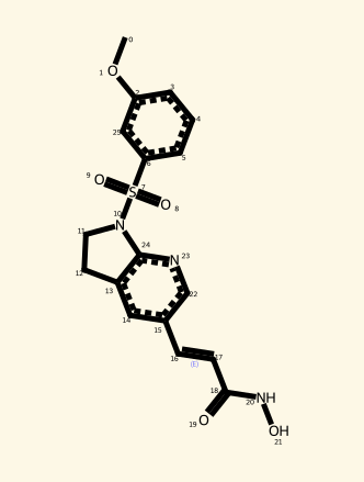 COc1cccc(S(=O)(=O)N2CCc3cc(/C=C/C(=O)NO)cnc32)c1